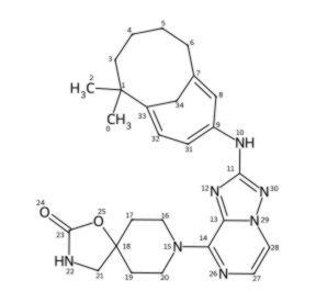 CC1(C)CCCCC2=CC(Nc3nc4c(N5CCC6(CC5)CNC(=O)O6)nccn4n3)=CC=C1C2